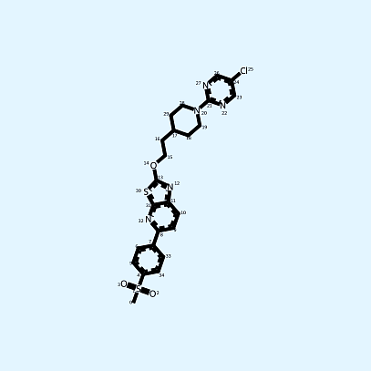 CS(=O)(=O)c1ccc(-c2ccc3nc(OCCC4CCN(c5ncc(Cl)cn5)CC4)sc3n2)cc1